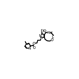 CCc1nn(CCCOC(=O)c2cc(C)ccn2)c2c1C(=O)NCCCOCCC2